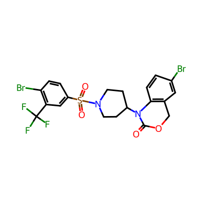 O=C1OCc2cc(Br)ccc2N1C1CCN(S(=O)(=O)c2ccc(Br)c(C(F)(F)F)c2)CC1